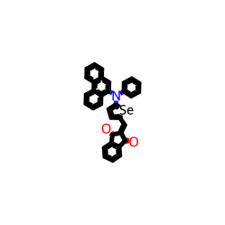 O=C1C(=Cc2ccc(N(c3ccccc3)c3cc4ccccc4c4ccccc34)[se]2)C(=O)c2ccccc21